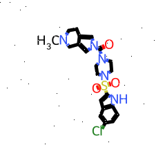 CN1CCc2cn(C(=O)N3CCN(S(=O)(=O)c4cc5cc(Cl)ccc5[nH]4)CC3)cc2C1